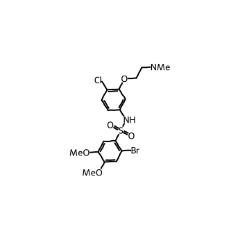 CNCCOc1cc(NS(=O)(=O)c2cc(OC)c(OC)cc2Br)ccc1Cl